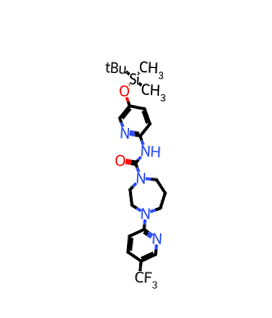 CC(C)(C)[Si](C)(C)Oc1ccc(NC(=O)N2CCCN(c3ccc(C(F)(F)F)cn3)CC2)nc1